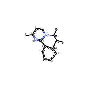 Cc1cc[n+]2c(n1)-c1ccccc1C(C)C2C